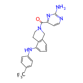 Nc1nccc(C(=O)N2CCc3c(cccc3Nc3ccc(C(F)(F)F)cc3)C2)n1